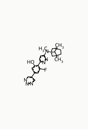 CN(c1ccc(-c2c(O)cc(-c3cnnnc3)cc2F)nn1)[C@H]1C[C@]2(C)CC[C@](C)(C1)C2